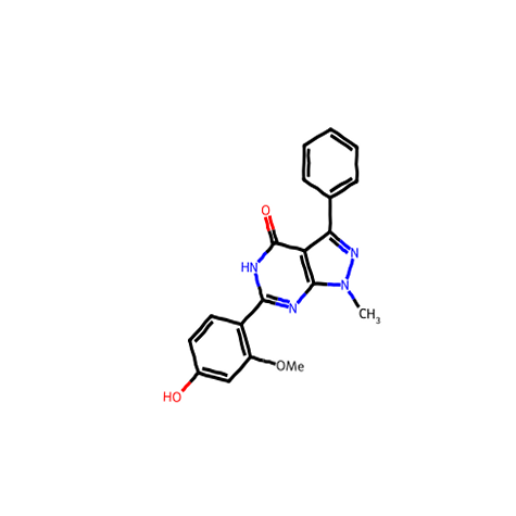 COc1cc(O)ccc1-c1nc2c(c(-c3ccccc3)nn2C)c(=O)[nH]1